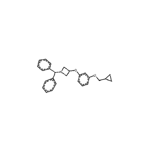 c1ccc(C(c2ccccc2)N2CC(Oc3cccc(OCC4CC4)c3)C2)cc1